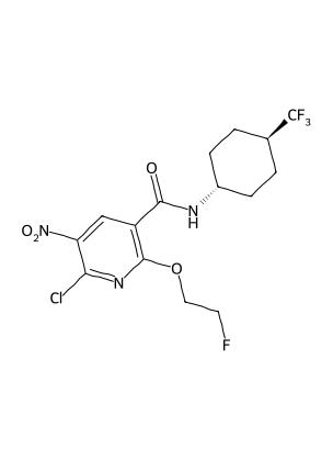 O=C(N[C@H]1CC[C@H](C(F)(F)F)CC1)c1cc([N+](=O)[O-])c(Cl)nc1OCCF